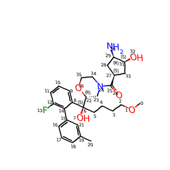 COCCCC[C@](O)(c1cccc(F)c1-c1cccc(C)c1)[C@H]1CN(C(=O)[C@H]2C[C@@H](N)[C@@H](O)C2)CCO1